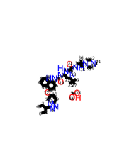 CCC(CC)c1nnc2ccc(O[C@@H]3CC[C@H](NC(=O)Nc4cc(C(C)(C)C)nc(C(=O)NCC(C)(C)N5CCN(C)CC5)n4)c4ccccc43)cn12.O=CO